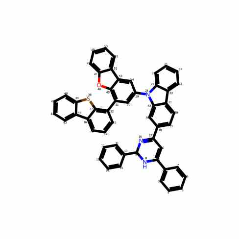 C1=C(c2ccccc2)NC(c2ccccc2)N=C1c1ccc2c3ccccc3n(-c3cc(-c4cccc5c4sc4ccccc45)c4oc5ccccc5c4c3)c2c1